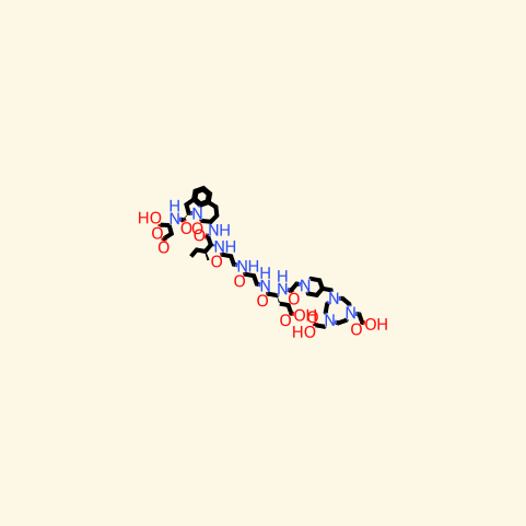 CC[C@H](C)[C@H](NC(=O)CCNC(=O)CCNC(=O)[C@@H](CCC(=O)O)NC(=O)CN1CCC(CN2CCN(CC(=O)O)CCN(CC(=O)O)CC2)CC1)C(=O)N[C@H]1CCc2cccc3c2N(C1=O)[C@H](C(=O)NC1CC(=O)OC1O)C3